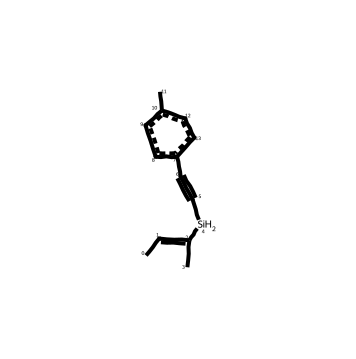 CC=C(C)[SiH2]C#Cc1ccc(C)cc1